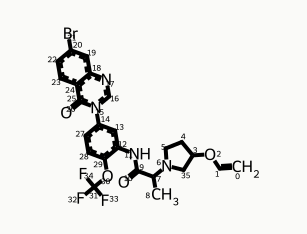 C=COC1CCN(C(C)C(=O)Nc2cc(-n3cnc4cc(Br)ccc4c3=O)ccc2OC(F)(F)F)C1